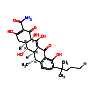 C[C@H]1c2ccc(C(C)(C)CCCBr)c(O)c2C(=O)C2=C(O)[C@]3(O)C(=O)C(C(N)=O)=C(O)C[C@@H]3[C@@H](O)[C@@H]21